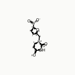 O=c1ccn(Cc2ccc([N+](=O)[O-])o2)c(=O)[nH]1